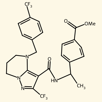 COC(=O)c1ccc(C(C)NC(=O)c2c(C(F)(F)F)nn3c2N(Cc2ccc(C(F)(F)F)cc2)CCC3)cc1